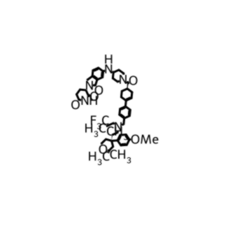 COc1ccc([C@]2(CCN(Cc3ccc(C4=CC[C@H](C(=O)N5CCC(Nc6ccc7c(c6)C(=O)N(C6CCC(=O)NC6=O)C7)CC5)CC4)cc3)CC(C)(C)C(F)(F)F)CCOC(C)(C)C2)cc1